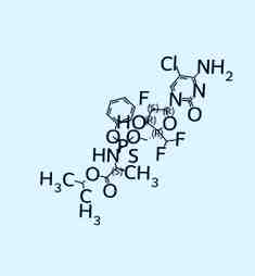 CC(C)OC(=O)[C@H](C)NP(=S)(OC[C@@]1(C(F)F)O[C@@H](n2cc(Cl)c(N)nc2=O)[C@@H](F)[C@@H]1O)Oc1ccccc1